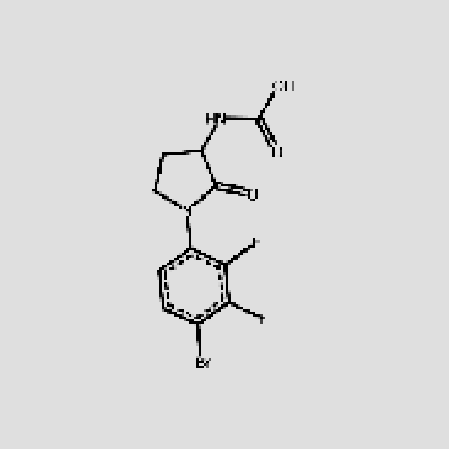 O=C(O)NC1CCN(c2ccc(Br)c(F)c2F)C1=O